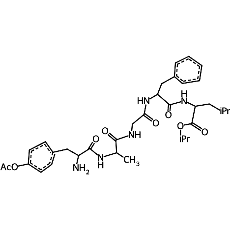 CC(=O)Oc1ccc(CC(N)C(=O)NC(C)C(=O)NCC(=O)NC(Cc2ccccc2)C(=O)NC(CC(C)C)C(=O)OC(C)C)cc1